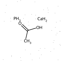 CC(=O)O.P.[CaH2]